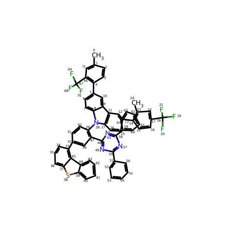 Cc1ccc(-c2ccc3c(c2)c2cc(-c4ccc(C(F)(F)F)cc4C)ccc2n3-c2ccc(-c3cccc4sc5ccccc5c34)cc2-c2nc(-c3ccccc3)nc(-c3ccccc3)n2)c(C(F)(F)F)c1